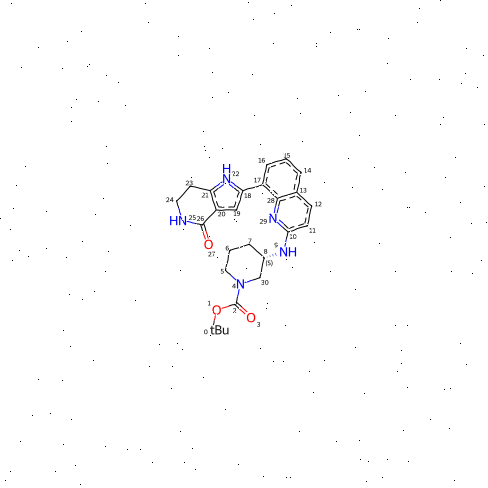 CC(C)(C)OC(=O)N1CCC[C@H](Nc2ccc3cccc(-c4cc5c([nH]4)CCNC5=O)c3n2)C1